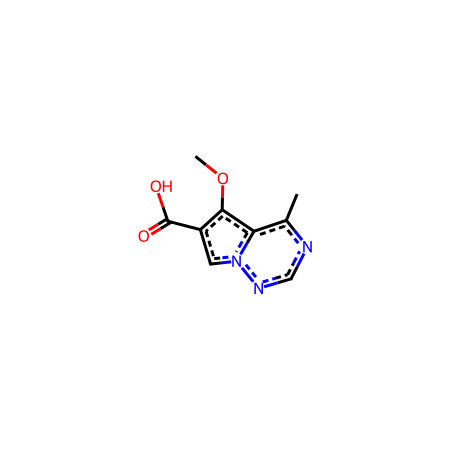 COc1c(C(=O)O)cn2ncnc(C)c12